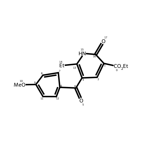 CCOC(=O)c1cc(C(=O)c2ccc(OC)cc2)c(CC)[nH]c1=O